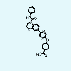 O=C(O)C1CCC(Oc2cnc(-c3ccc4c(c3)OCCN4C(=O)NC3=CC=CCC3)cn2)CC1